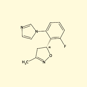 CC1=NO[C@@H](c2c(F)cccc2-n2ccnc2)C1